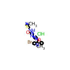 Cc1ncsc1CCNC(=O)c1cnc(N2CCN(C(=O)c3c(-c4ccccc4)n(C)c4ccc(Br)cc34)CC2)cn1.Cl